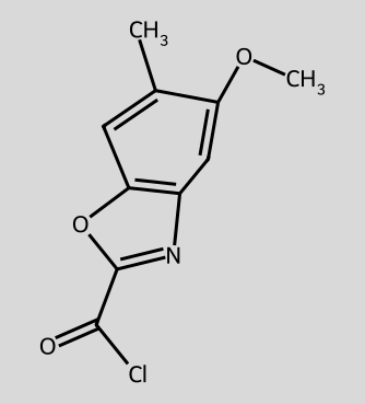 COc1cc2nc(C(=O)Cl)oc2cc1C